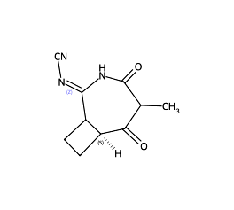 CC1C(=O)N/C(=N\C#N)C2CC[C@@H]2C1=O